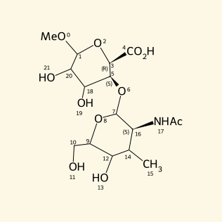 COC1O[C@@H](C(=O)O)[C@@H](OC2OC(CO)C(O)C(C)[C@@H]2NC(C)=O)C(O)C1O